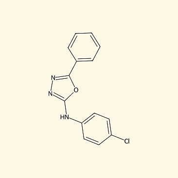 Clc1ccc(Nc2nnc(-c3ccccc3)o2)cc1